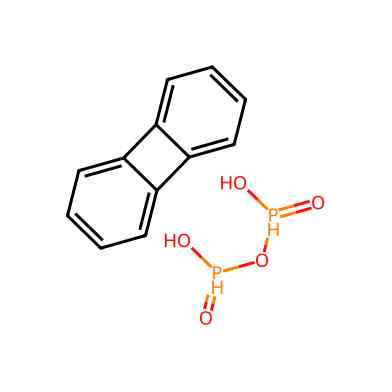 O=[PH](O)O[PH](=O)O.c1ccc2c(c1)-c1ccccc1-2